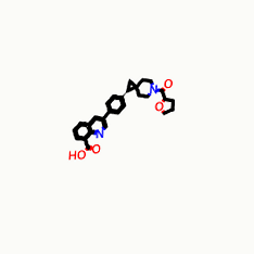 O=C(O)c1cccc2cc(-c3ccc([C@@H]4CC45CCN(C(=O)C4CCCO4)CC5)cc3)cnc12